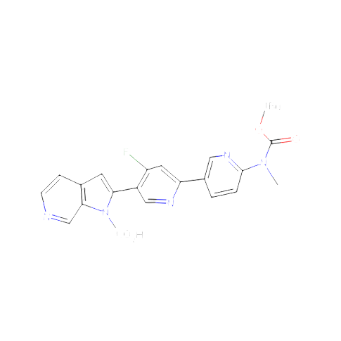 CN(C(=O)OC(C)(C)C)c1ccc(-c2cc(F)c(-c3cc4ccncc4n3C(=O)O)cn2)cn1